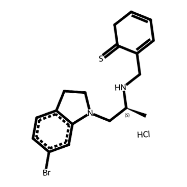 C[C@@H](CN1CCc2ccc(Br)cc21)NCC1=CC=CCC1=S.Cl